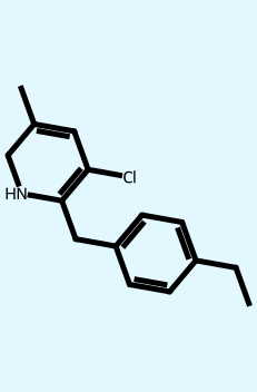 CCc1ccc(CC2=C(Cl)C=C(C)CN2)cc1